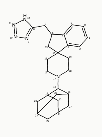 c1ccc2c(c1)C(Cc1nnn[nH]1)CC21CCN(C2C3CC4CC(C3)CC2C4)CC1